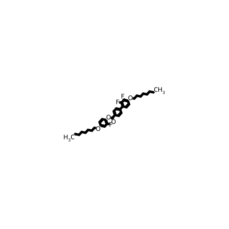 CCCCCCCCOc1ccc(OC(=O)c2ccc(-c3ccc(OCCCCCCCC)c(F)c3F)cc2)c(F)c1